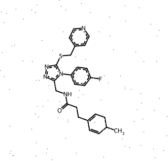 CC1C=CC(CCC(=O)NCc2nnc(SCc3ccncc3)n2-c2ccc(F)cc2)=CC1